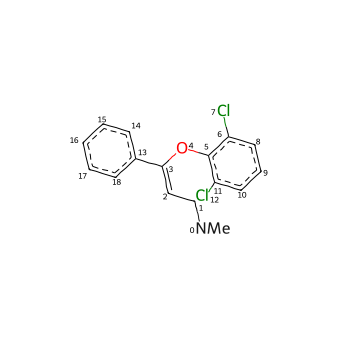 CNC/C=C(\Oc1c(Cl)cccc1Cl)c1ccccc1